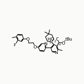 Cc1ccc(OCCOc2ccc(-c3cnc(C)c([C@H](OC(C)(C)C)C(=O)O)c3N3CCC(C)(C)CC3)nc2)cc1F